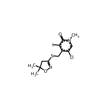 Cn1cc(Cl)c(CSC2=NOC(C)(C)C2)c(I)c1=O